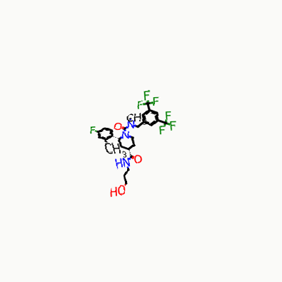 Cc1cc(F)ccc1[C@H]1C[C@@H](C(=O)NCCCO)CCN1C(=O)N(C)Cc1cc(C(F)(F)F)cc(C(F)(F)F)c1